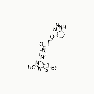 CCc1cc2c(N3CCN(C(=O)CCCOc4cccc5[nH]nnc45)CC3)nc(O)nc2s1